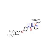 Cc1cc(COc2ccc(NC(=O)Nc3cccnc3Oc3ccccc3C(C)(C)C)cc2)ccc1C(=O)O